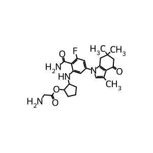 Cc1cn(-c2cc(F)c(C(N)=O)c(NC3CCCC3OC(=O)CN)c2)c2c1C(=O)CC(C)(C)C2